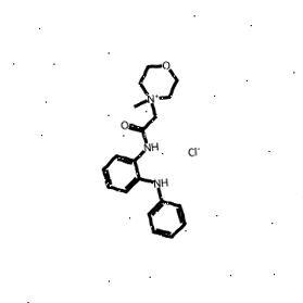 C[N+]1(CC(=O)Nc2ccccc2Nc2ccccc2)CCOCC1.[Cl-]